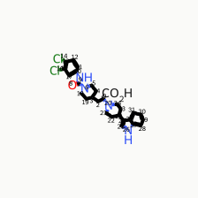 O=C(O)C(CC1CCN(C(=O)Nc2ccc(Cl)c(Cl)c2)CC1)N1CCC(c2c[nH]c3ccccc23)CC1